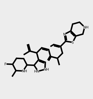 C=C(/C=C\C(C(=C)C)C1=CNNC1C1CCC(F)C(C)N1)C(C)C/C(=C\C)c1nc2c(s1)CNCC2